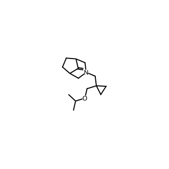 C=C1C2CCC1CN(CC1(COC(C)C)CC1)C2